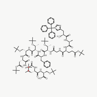 CC(C)[C@H](NC(=O)[C@H](CC(=O)OC(C)(C)C)NC(=O)[C@H](COC(C)(C)C)NC(=O)[C@@H](NC(=O)[C@H](Cc1ccccc1)NC(=O)[C@@H](NC(=O)CNC(=O)[C@H](CCC(=O)OC(C)(C)C)NC(=O)[C@H](C)NC(=O)[C@@H](N)Cc1cn(C(c2ccccc2)(c2ccccc2)c2ccccc2)cn1)[C@@H](C)OC(C)(C)C)[C@@H](C)OC(C)(C)C)C(=O)N[C@@H](COC(C)(C)C)C(=O)N[C@@H](COC(C)(C)C)C(=O)O